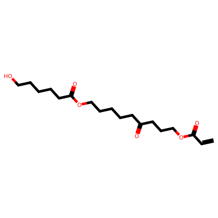 C=CC(=O)OCCCC(=O)CCCCCOC(=O)CCCCCO